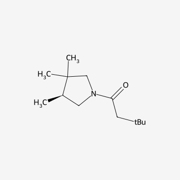 C[C@@H]1CN(C(=O)CC(C)(C)C)CC1(C)C